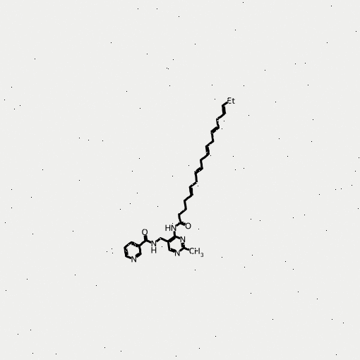 CCC=CCC=CCC=CCC=CCC=CCCCC(=O)Nc1nc(C)ncc1CNC(=O)c1cccnc1